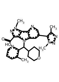 Cc1cccnc1C(C1CCOCC1)n1c2cc(-c3c(C)nnn3C)cnc2c2c1c(C(=O)O)nn2C